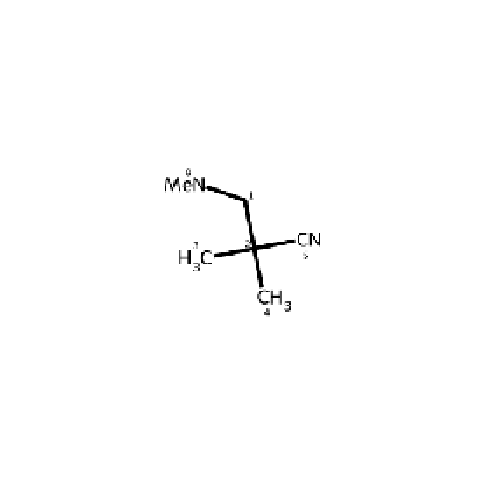 CNCC(C)(C)C#N